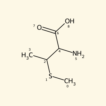 CSC(C)C(N)C(=O)O